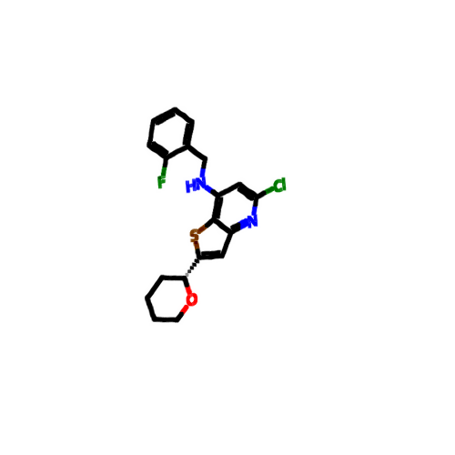 Fc1ccccc1CNc1cc(Cl)nc2cc([C@H]3CCCCO3)sc12